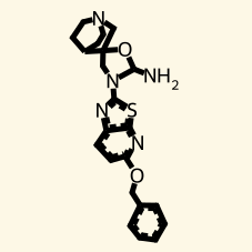 NC1OC2(CN3CCC2CC3)CN1c1nc2ccc(OCc3ccccc3)nc2s1